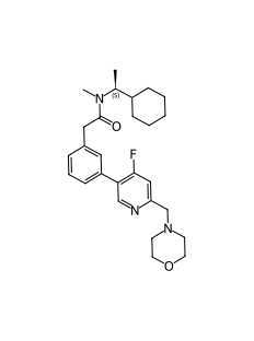 C[C@@H](C1CCCCC1)N(C)C(=O)Cc1cccc(-c2cnc(CN3CCOCC3)cc2F)c1